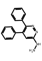 NNc1cc(-c2ccccc2)c(-c2ccccc2)nn1